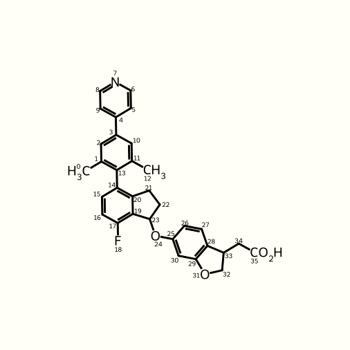 Cc1cc(-c2ccncc2)cc(C)c1-c1ccc(F)c2c1CCC2Oc1ccc2c(c1)OCC2CC(=O)O